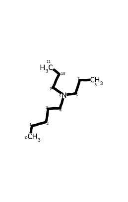 CCCCCN(CCC)CCC